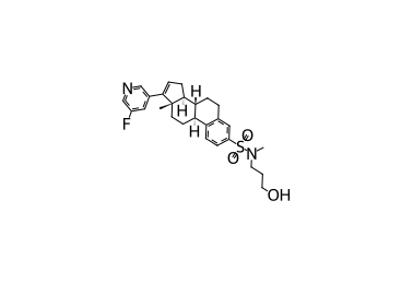 CN(CCCO)S(=O)(=O)c1ccc2c(c1)CC[C@@H]1[C@@H]2CC[C@]2(C)C(c3cncc(F)c3)=CC[C@@H]12